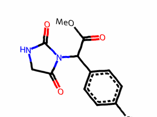 COC(=O)C(c1ccc(C#N)cc1)N1C(=O)CNC1=O